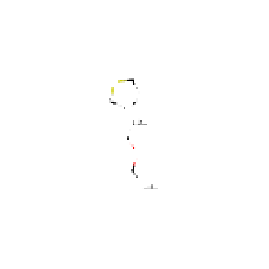 C1CCSC1.CC(C)(C)COCC(C)(C)C